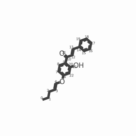 CCCC=COc1ccc(C(=O)/C=C/c2ccccc2)c(O)c1